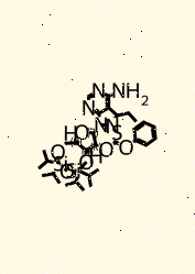 CCc1nn([C@@H]2O[C@H]3CO[Si](C(C)C)(C(C)C)O[Si](C(C)C)(C(C)C)O[C@H]3[C@H]2OC(=S)Oc2ccccc2)c2ncnc(N)c12